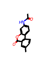 CC(=O)Nc1ccc2c(c1)oc(=O)c1cc(C)ccc12